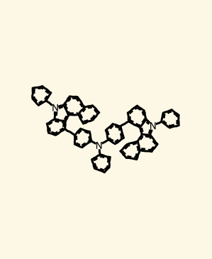 c1ccc(N(c2ccc(-c3cccc4c3c3c5ccccc5ccc3n4-c3ccccc3)cc2)c2ccc(-c3cccc4c3c3c5ccccc5ccc3n4-c3ccccc3)cc2)cc1